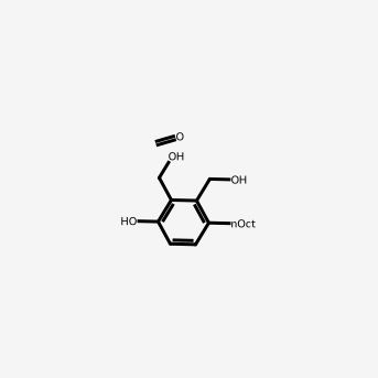 C=O.CCCCCCCCc1ccc(O)c(CO)c1CO